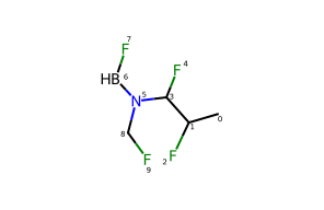 CC(F)C(F)N(BF)CF